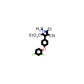 CCOC(=O)c1c(-c2ccc(Oc3ccc(F)cc3F)cc2)c(C#N)c(CC)n1C